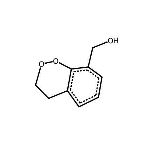 OCc1cccc2c1OOCC2